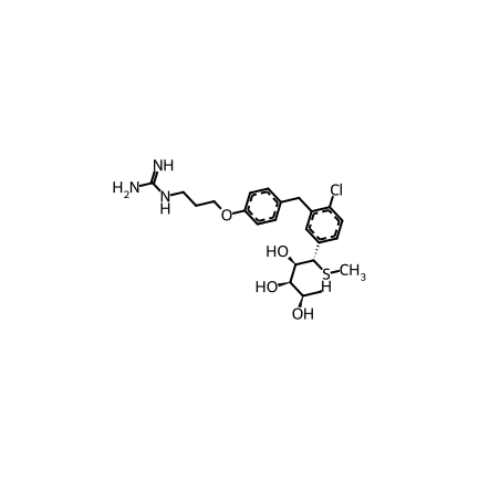 C[SH]1C[C@@H](O)[C@@H](O)[C@@H](O)[C@@H]1c1ccc(Cl)c(Cc2ccc(OCCCNC(=N)N)cc2)c1